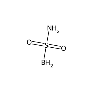 BS(N)(=O)=O